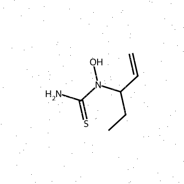 C=CC(CC)N(O)C(N)=S